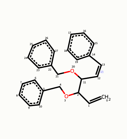 C=CC(OCc1ccccc1)C(/C=C\c1ccccc1)OCc1ccccc1